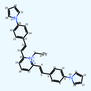 CC(C)C[n+]1c(/C=C/c2ccc(-n3cccc3)cc2)cccc1/C=C/c1ccc(-n2cccc2)cc1